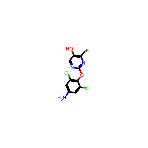 CC(C)c1nc(Oc2c(Cl)cc(N)cc2Cl)ncc1O